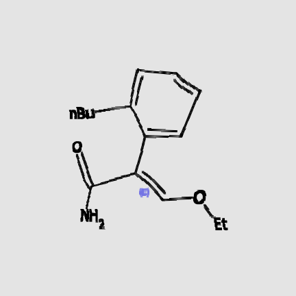 CCCCc1ccccc1/C(=C\OCC)C(N)=O